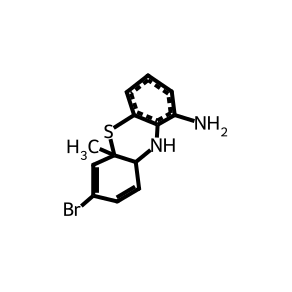 CC12C=C(Br)C=CC1Nc1c(N)cccc1S2